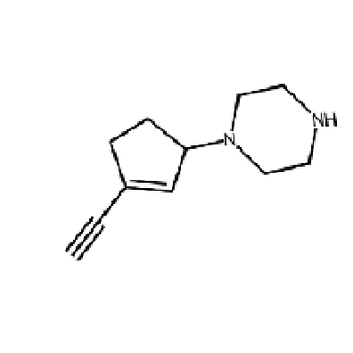 C#CC1=CC(N2CCNCC2)CC1